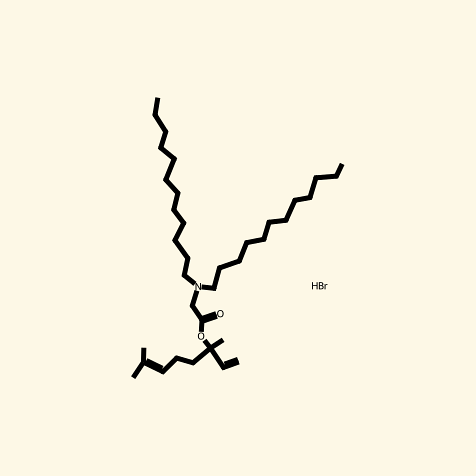 Br.C=CC(C)(CCC=C(C)C)OC(=O)CN(CCCCCCCCCCCC)CCCCCCCCCCCC